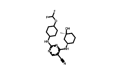 C[C@]1(O)CCC[C@@H](Nc2nc(NC3CCC(OC(F)F)CC3)ncc2C#N)C1